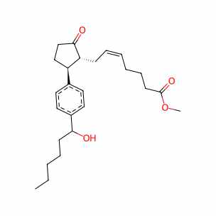 CCCCCC(O)c1ccc([C@H]2CCC(=O)[C@@H]2C/C=C\CCCC(=O)OC)cc1